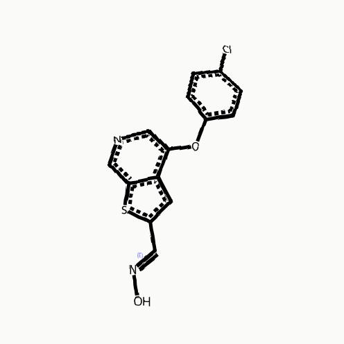 O/N=C/c1cc2c(Oc3ccc(Cl)cc3)cncc2s1